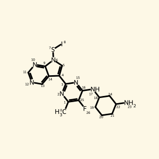 Cc1nc(-c2cn(SI)c3ncncc23)nc(NC2CCCC(N)C2)c1F